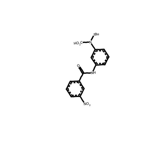 CC(C)(C)N(C(=O)O)c1cccc(NC(=O)c2cccc([N+](=O)[O-])c2)c1